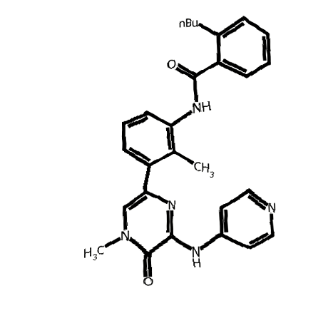 CCCCc1ccccc1C(=O)Nc1cccc(-c2cn(C)c(=O)c(Nc3ccncc3)n2)c1C